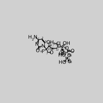 Nc1ccn(C2(F)CO[C@](CCl)(COP(=O)(O)OP(=O)(O)OP(=O)(O)O)[C@H]2O)c(=O)n1